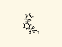 CCOS(=O)(=O)c1cccc(-c2cccnc2)c1